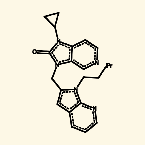 CC(C)CCn1c(Cn2c(=O)n(C3CC3)c3ccncc32)cc2cccnc21